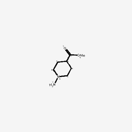 COC(=O)C1CCN(N)CC1